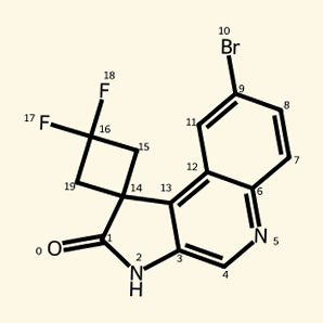 O=C1Nc2cnc3ccc(Br)cc3c2C12CC(F)(F)C2